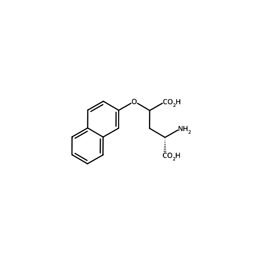 N[C@@H](CC(Oc1ccc2ccccc2c1)C(=O)O)C(=O)O